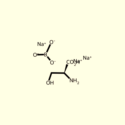 N[C@@H](CO)C(=O)O.[Na+].[Na+].[Na+].[O-]B([O-])[O-]